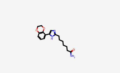 NC(=O)CCCCCCc1ncc(-c2cccc3c2OCCO3)[nH]1